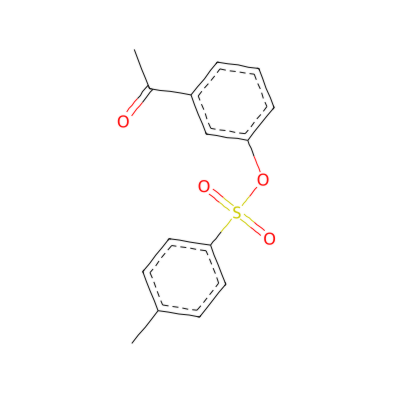 CC(=O)c1cccc(OS(=O)(=O)c2ccc(C)cc2)c1